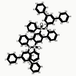 O=P1(c2ccccc2)c2cc3c(cc2-c2ccccc2N1c1cc(-c2ccccc2)cc(-c2ccccc2)c1)P(=O)(c1ccccc1)N(c1cc(-c2ccccc2)cc(-c2ccccc2)c1)c1ccccc1-3